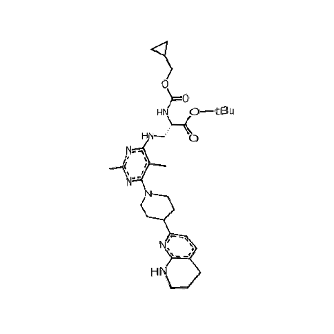 Cc1nc(NC[C@H](NC(=O)OCC2CC2)C(=O)OC(C)(C)C)c(C)c(N2CCC(c3ccc4c(n3)NCCC4)CC2)n1